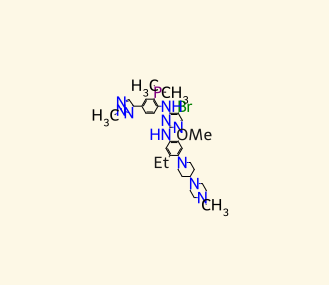 CCc1cc(Nc2ncc(Br)c(Nc3ccc(-c4cnn(C)n4)cc3P(C)C)n2)c(OC)cc1N1CCC(N2CCN(C)CC2)CC1